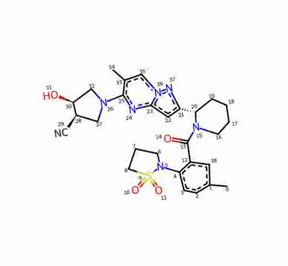 Cc1ccc(N2CCCS2(=O)=O)c(C(=O)N2CCCC[C@H]2c2cc3nc(N4C[C@@H](C#N)[C@@H](O)C4)c(C)cn3n2)c1